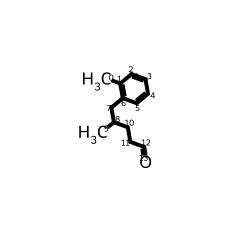 Cc1[c]cccc1CC(C)CCC=O